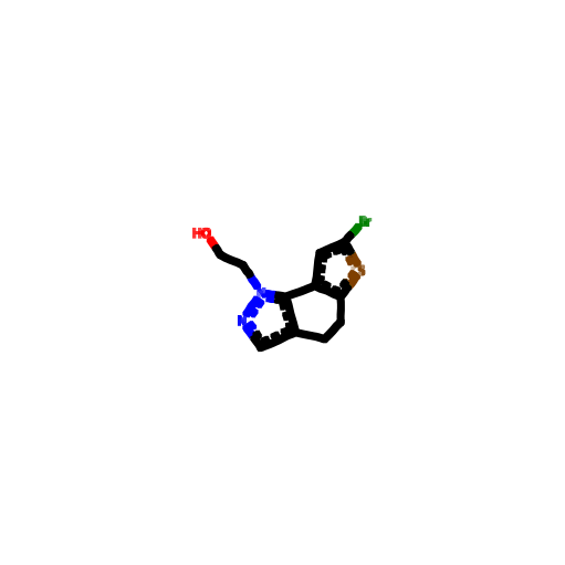 OCCn1ncc2c1-c1cc(Br)sc1CC2